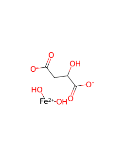 O=C([O-])CC(O)C(=O)[O-].[OH][Fe+2][OH]